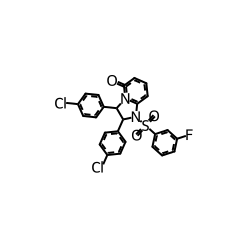 O=c1cccc2n1C(c1ccc(Cl)cc1)C(c1ccc(Cl)cc1)N2S(=O)(=O)c1cccc(F)c1